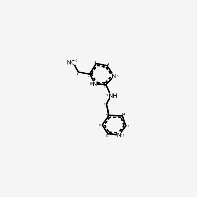 N#CCc1ccnc(NCc2ccncc2)n1